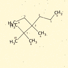 [CH2]CCC(C)(CC)C(C)(C)C